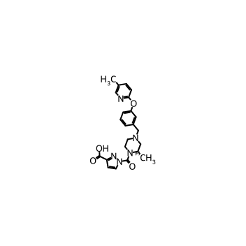 Cc1ccc(Oc2cccc(CN3CCN(C(=O)n4ccc(C(=O)O)n4)[C@H](C)C3)c2)nc1